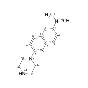 CN(C)c1ccc2cc(N3CCNCC3)ccc2c1